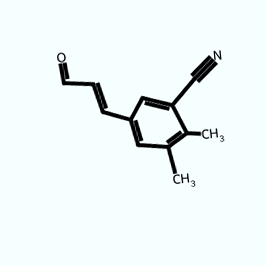 Cc1cc(/C=C/C=O)cc(C#N)c1C